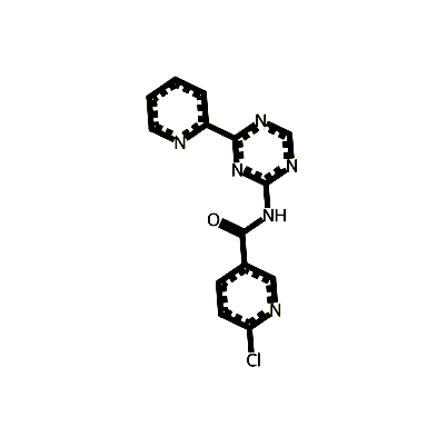 O=C(Nc1ncnc(-c2ccccn2)n1)c1ccc(Cl)nc1